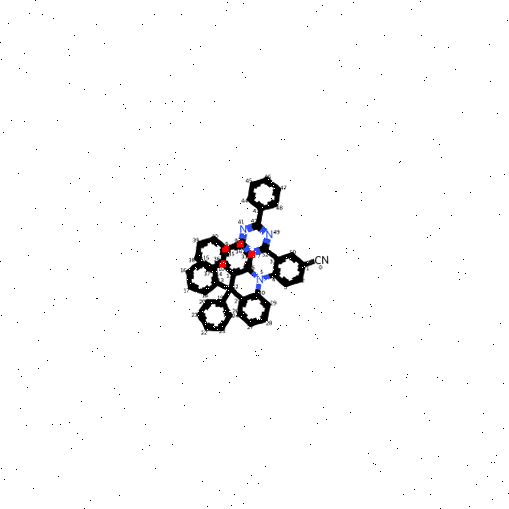 N#Cc1ccc(N2c3ccccc3C(c3ccccc3)(c3ccccc3)c3ccccc32)c(-c2nc(-c3ccccc3)nc(-c3ccccc3)n2)c1